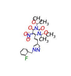 COC(C)n1c(C=Cc2cnn(Cc3ccccc3F)c2)c([N+](=O)[O-])c(=O)n(C(C)OC)c1=O